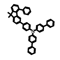 CC1(C)c2ccc(-c3ccc(N(c4ccc(-c5ccccc5)cc4)c4ccc(-c5ccccc5)cc4)cc3)cc2-c2c(-c3ccccc3)cccc21